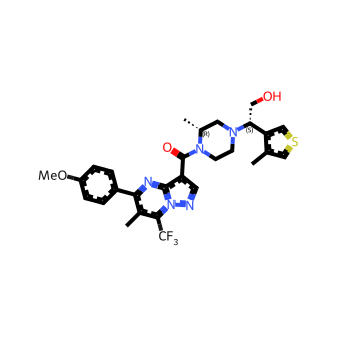 COc1ccc(-c2nc3c(C(=O)N4CCN([C@H](CO)c5cscc5C)C[C@H]4C)cnn3c(C(F)(F)F)c2C)cc1